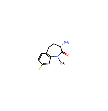 CN1C(=O)[C@@H](N)CCc2ccc(F)cc21